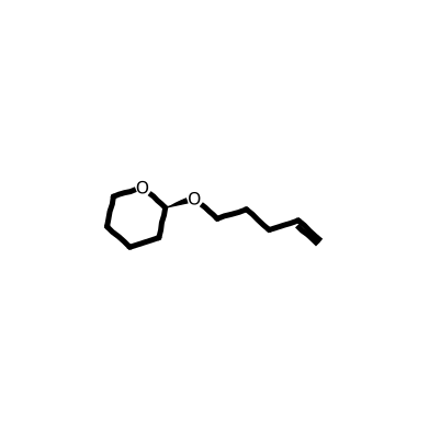 C=CCCCO[C@H]1CCCCO1